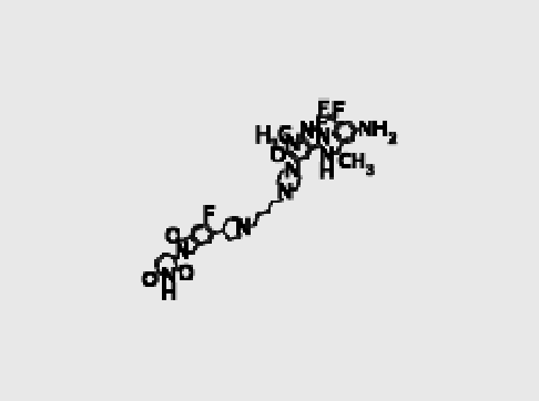 CC(Nc1ncnc2c1cc(N1CCN(CCCCCN3CCC(c4cc5c(cc4F)C(=O)N(C4CCC(=O)NC4=O)C5)CC3)CC1)c(=O)n2C)c1cc(N)cc(C(F)(F)F)c1